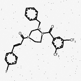 O=C(C=Cc1ccc(F)cc1)N1CCN(C(=O)c2cc(C(F)(F)F)cc(C(F)(F)F)c2)[C@H](Cc2ccccc2)C1